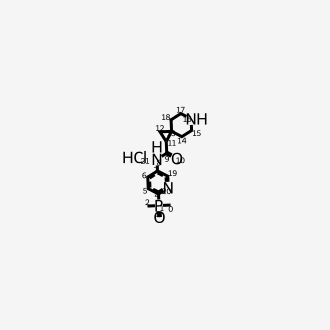 CP(C)(=O)c1ccc(NC(=O)C2CC23CCNCC3)cn1.Cl